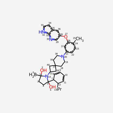 BC1(O)CCC(O)(C2C=CC=CC2C(C)C)N1C1CC2(CCN(c3ccc(C)c(Oc4cnc5[nH]ccc5c4)c3)CC2)C1